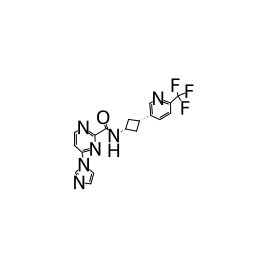 O=C(N[C@H]1C[C@@H](c2ccc(C(F)(F)F)nc2)C1)c1nccc(-n2ccnc2)n1